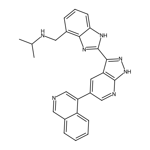 CC(C)NCc1cccc2[nH]c(-c3n[nH]c4ncc(-c5cncc6ccccc56)cc34)nc12